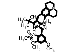 COc1cc(OC)c(NS(C)(=O)=O)c(-c2nnc3/c(=C\c4cc5c6c(c4C)CCCN6CCC5)c(C(C)(C)C)nn23)c1